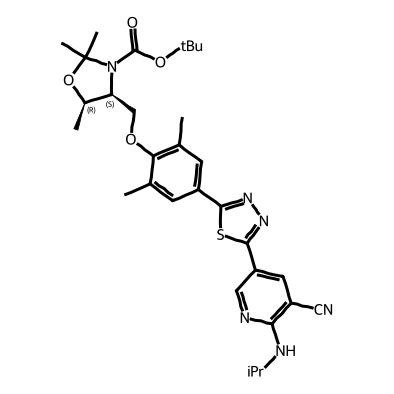 Cc1cc(-c2nnc(-c3cnc(NC(C)C)c(C#N)c3)s2)cc(C)c1OC[C@H]1[C@@H](C)OC(C)(C)N1C(=O)OC(C)(C)C